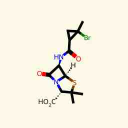 CC1(Br)CC1C(=O)N[C@@H]1C(=O)N2[C@@H]1SC(C)(C)[C@@H]2C(=O)O